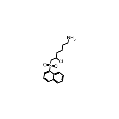 NCCCCC(Cl)CS(=O)(=O)c1cccc2ccccc12